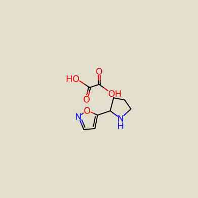 O=C(O)C(=O)O.c1cc(C2CCCN2)on1